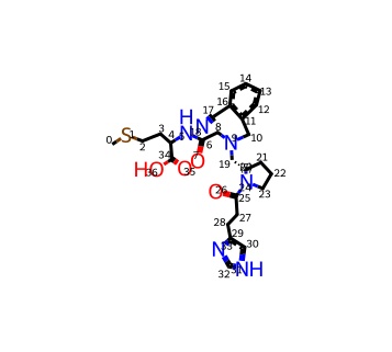 CSCCC(NC(=O)CN(Cc1ccccc1C#N)C[C@@H]1CCCN1C(=O)CCc1c[nH]cn1)C(=O)O